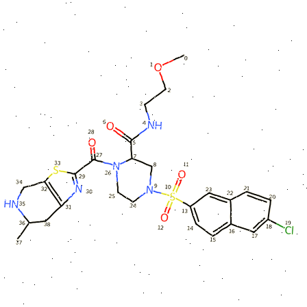 COCCNC(=O)C1CN(S(=O)(=O)c2ccc3cc(Cl)ccc3c2)CCN1C(=O)c1nc2c(s1)CNC(C)C2